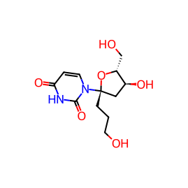 O=c1ccn([C@@]2(CCCO)C[C@H](O)[C@@H](CO)O2)c(=O)[nH]1